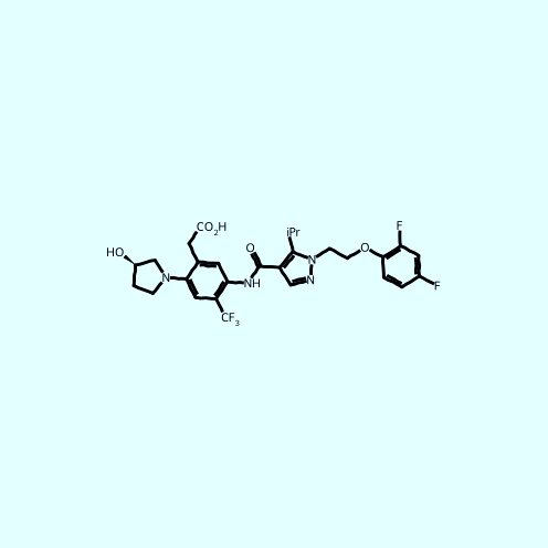 CC(C)c1c(C(=O)Nc2cc(CC(=O)O)c(N3CC[C@@H](O)C3)cc2C(F)(F)F)cnn1CCOc1ccc(F)cc1F